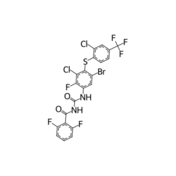 O=C(NC(=O)c1c(F)cccc1F)Nc1cc(Br)c(Sc2ccc(C(F)(F)F)cc2Cl)c(Cl)c1F